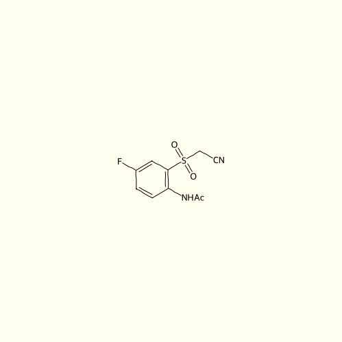 CC(=O)Nc1ccc(F)cc1S(=O)(=O)CC#N